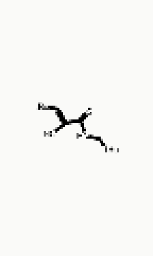 CC(C)(C)/C=C(\C#N)C(=S)NCC(C)(C)C